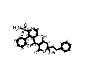 CCCC1(CCc2ccccc2)CC(O)=C(C(CC)c2ccnc(S(N)(=O)=O)c2-c2ccccc2)C(=O)O1